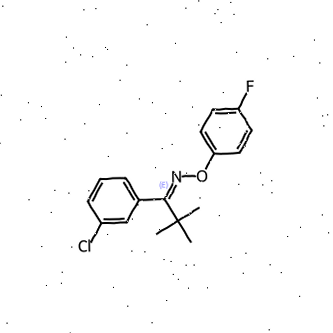 CC(C)(C)/C(=N\Oc1ccc(F)cc1)c1cccc(Cl)c1